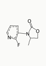 CC1COC(=O)N1c1cccnc1F